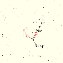 [B+2]OC(=O)CC.[H-].[H-].[H-].[Na+]